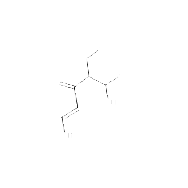 C/C=C/C(=O)C(CC)C(C)C